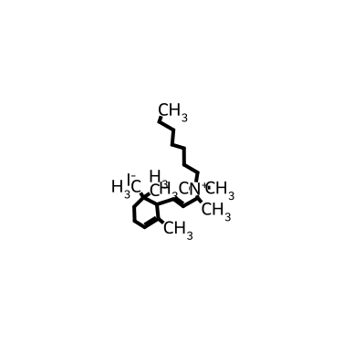 CCCCCCC[N+](C)(C)C(C)C=CC1C(C)=CCCC1(C)C.[I-]